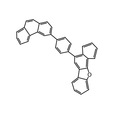 c1ccc2c(c1)ccc1ccc(-c3ccc(-c4cc5c6ccccc6oc5c5ccccc45)cc3)cc12